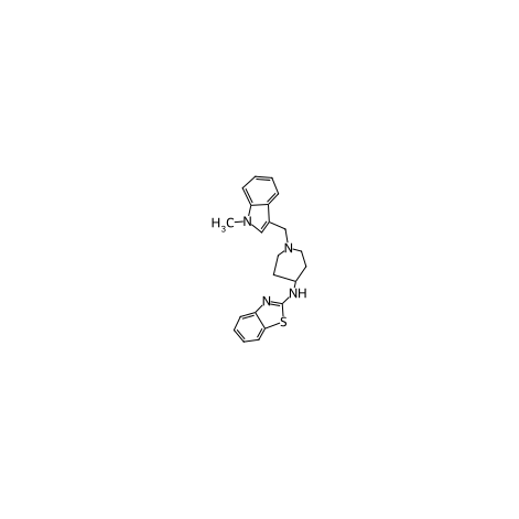 Cn1cc(CN2CCC(Nc3nc4ccccc4s3)CC2)c2ccccc21